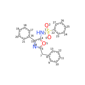 O=S(=O)(Nc1oc(Cc2ccccc2)nc1-c1ccccc1)c1ccccc1